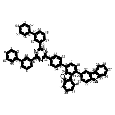 c1ccc(-c2cccc(-c3nc(-c4ccc(-c5ccc(-c6ccc7sc8ccccc8c7c6)c6c5oc5ccccc56)cc4)nc(-c4cccc(-c5ccccc5)c4)n3)c2)cc1